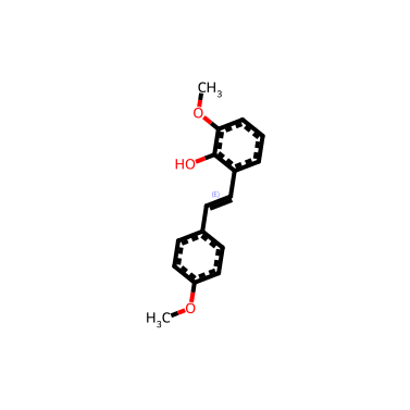 COc1ccc(/C=C/c2cccc(OC)c2O)cc1